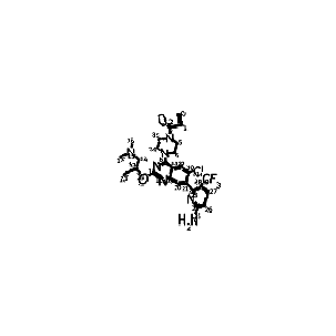 C=CC(=O)N1CCN(c2nc(OC(C)CN(C)C)nc3cc(-c4nc(N)ccc4C(F)(F)F)c(Cl)cc23)CC1